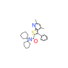 Cc1cc(C)c2c(-c3ccccc3)c(C(=O)N3C4(CCCCC4)C34CCCCC4)sc2n1